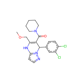 COCC1=C(C(=O)N2CCCCC2)C(c2ccc(Cl)c(Cl)c2)n2nccc2N1